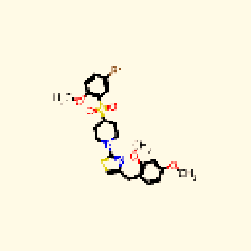 COc1ccc(Cc2csc(N3CCC(S(=O)(=O)c4cc(Br)ccc4OC)CC3)n2)c(OC)c1